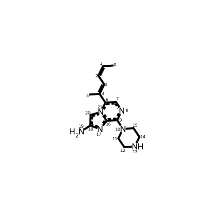 C/C=C\C=C(/C)c1cnc(N2CCNCC2)c2nc(N)cn12